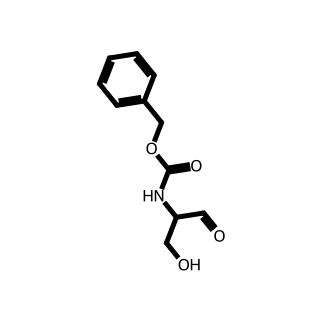 O=CC(CO)NC(=O)OCc1ccccc1